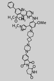 COc1cc(N2CCC3(CC2)CC(N2CCN(c4ccc5c(c4)C(=O)N(C4CCC(=O)NC4=O)C5=O)CC2)C3)c(-c2cnn(C)c2)cc1Nc1ncc(Br)c(Nc2ccc(-c3ccccc3)cc2P(C)(C)=O)n1